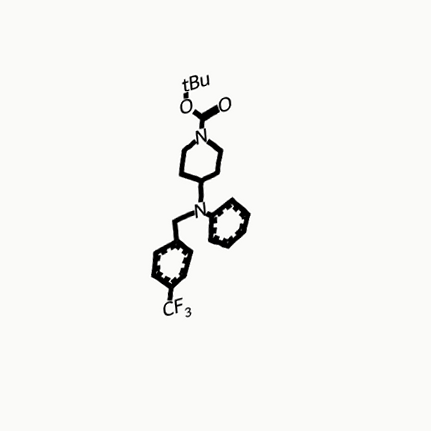 CC(C)(C)OC(=O)N1CCC(N(Cc2ccc(C(F)(F)F)cc2)c2ccccc2)CC1